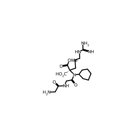 COC(=O)[C@](CCCNC(=N)N)(C(=O)O)N(C(=O)CNC(=O)CN)C1CCCCC1